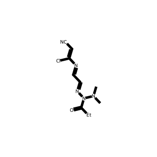 CCC(=O)N(N=CC=NC(Cl)=CC#N)N(C)C